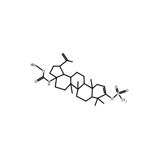 C=C(C)C1CCC2(NC(=O)OC(C)(C)C)CCC3(C)C(CCC4C5(C)CC=C(OS(=O)(=O)C(F)(F)F)C(C)(C)C5CCC43C)C12